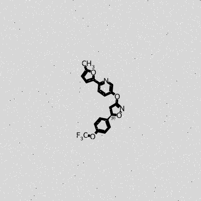 Cc1ccc(-c2ccc(OC3=NO[C@@H](c4ccc(OC(F)(F)F)cc4)C3)cn2)o1